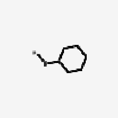 [CH2]C(C)SC1CCCCC1